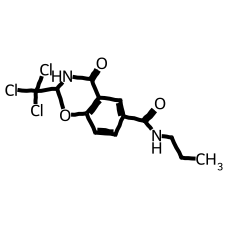 CCCNC(=O)c1ccc2c(c1)C(=O)NC(C(Cl)(Cl)Cl)O2